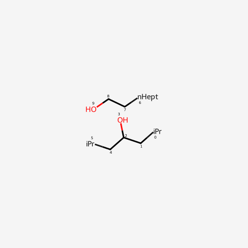 CC(C)CC(O)CC(C)C.CCCCCCCCCO